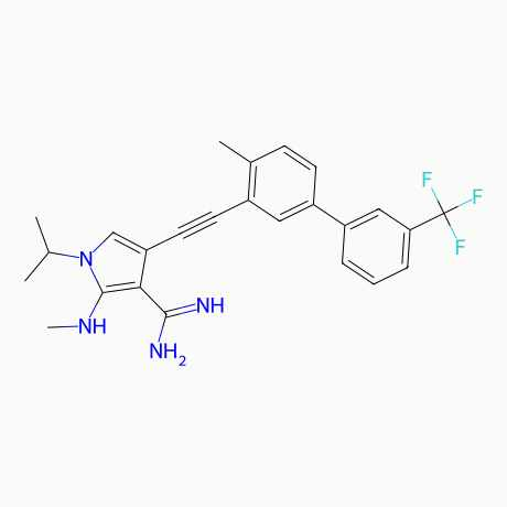 CNc1c(C(=N)N)c(C#Cc2cc(-c3cccc(C(F)(F)F)c3)ccc2C)cn1C(C)C